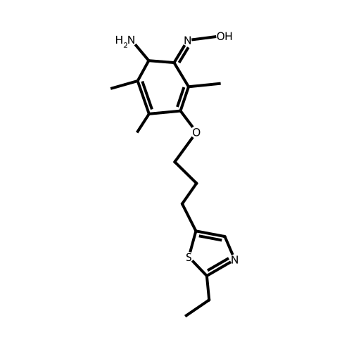 CCc1ncc(CCCOC2=C(C)C(=NO)C(N)C(C)=C2C)s1